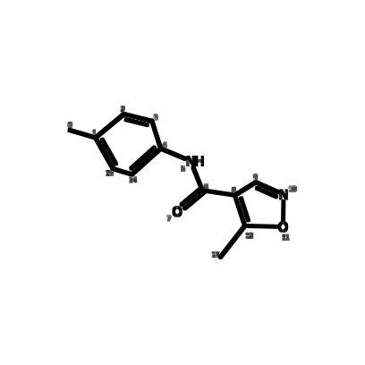 Cc1ccc(NC(=O)c2cnoc2C)cc1